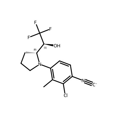 [C-]#[N+]c1ccc(N2CCC[C@@H]2[C@H](O)C(F)(F)F)c(C)c1Cl